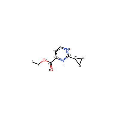 CCOC(=O)c1ccnc(C2CC2)n1